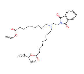 CCCCCCCCCOC(=O)CCCCCCCN(CCCCCCCC(=O)OC(CCCCCCCC)CCCCCCCC)CCN1C(=O)c2ccccc2C1=O